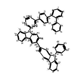 c1ccc(-c2ccccc2-c2ccc(-c3ncnc(-n4c5ccccc5c5cc(-c6ccc7c8ccccc8n(-c8ccccc8)c7c6)ccc54)n3)cc2)cc1